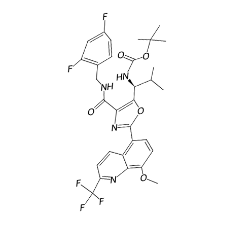 COc1ccc(-c2nc(C(=O)NCc3ccc(F)cc3F)c([C@@H](NC(=O)OC(C)(C)C)C(C)C)o2)c2ccc(C(F)(F)F)nc12